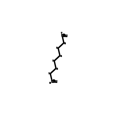 CC(C)(C)CCCCCCC(C)(C)C